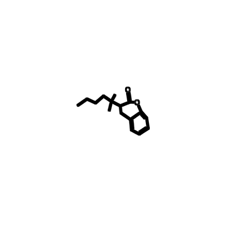 CCCCC(C)(C)C1Cc2ccccc2OC1=O